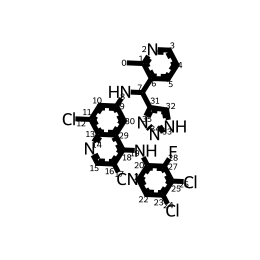 Cc1ncccc1C(Nc1cc(Cl)c2ncc(C#N)c(Nc3ccc(Cl)c(Cl)c3F)c2c1)c1c[nH]nn1